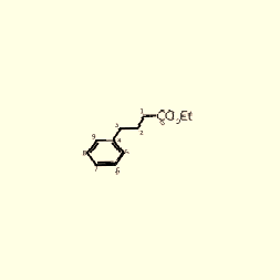 [CH2]COC(=O)CCCc1ccccc1